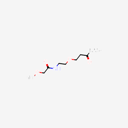 CCCOCC(=O)NCCOCCC(=O)NC